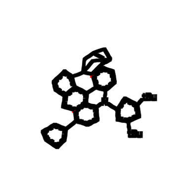 CC(C)(C)c1cc(N(c2ccc(-c3ccccc3)cc2)c2ccccc2-c2cccc3cccc(C45CC6CC(C4)C(C6)C5)c23)cc(C(C)(C)C)c1